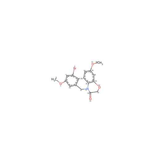 COc1cc(Br)cc(CN2C(=O)COc3cc(OC)ccc32)c1